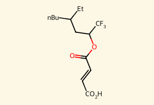 CCCCC(CC)CC(OC(=O)/C=C/C(=O)O)C(F)(F)F